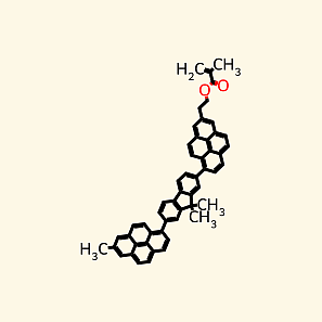 C=C(C)C(=O)OCCc1cc2ccc3ccc(-c4ccc5c(c4)C(C)(C)c4cc(-c6ccc7ccc8cc(C)cc9ccc6c7c89)ccc4-5)c4ccc(c1)c2c34